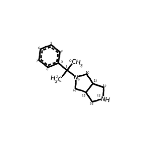 CC(C)(c1ccccc1)N1CC2CNCC2C1